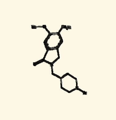 CCOC(=O)c1cc2c(cc1OCC)C(=O)N(CC1CCN(C(C)=O)CC1)C2